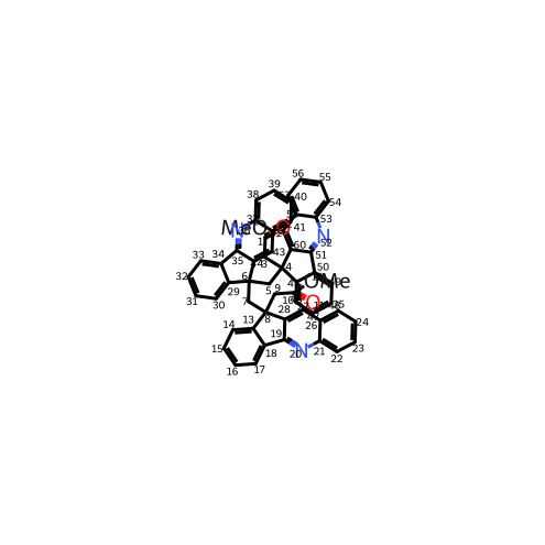 COC(=O)CC1(CC2(CC3(CC(=O)OC)c4ccccc4-c4nc5ccccc5cc43)c3ccccc3-c3nc4ccccc4cc32)c2ccccc2-c2nc3ccccc3cc21